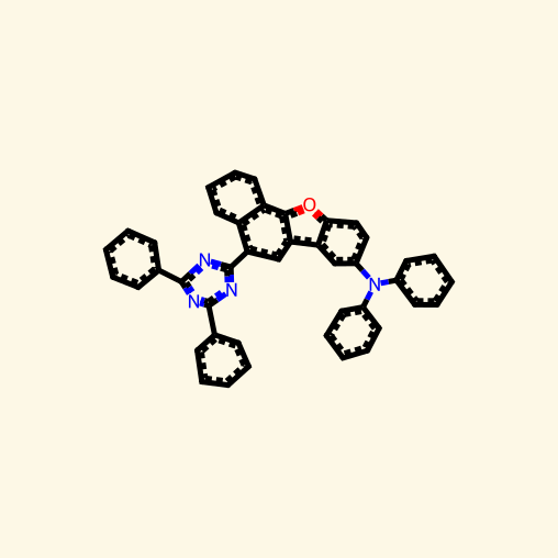 c1ccc(-c2nc(-c3ccccc3)nc(-c3cc4c5cc(N(c6ccccc6)c6ccccc6)ccc5oc4c4ccccc34)n2)cc1